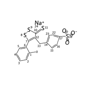 Cc1ccccc1-c1ssc(=S)c1Cc1ccc(S(=O)(=O)[O-])cc1.[Na+]